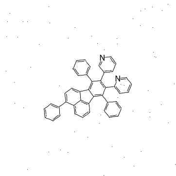 c1ccc(-c2c(-c3cccnc3)c(-c3ccccn3)c(-c3ccccc3)c3c2-c2ccc(-c4ccccc4)c4cccc-3c24)cc1